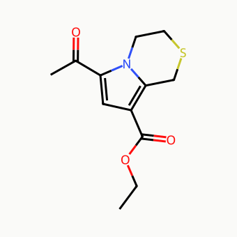 CCOC(=O)c1cc(C(C)=O)n2c1CSCC2